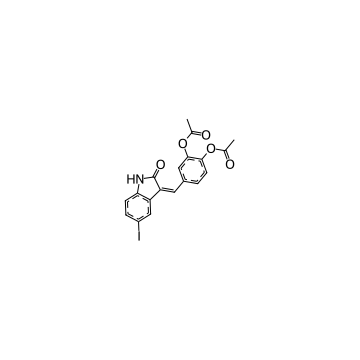 CC(=O)Oc1ccc(C=C2C(=O)Nc3ccc(I)cc32)cc1OC(C)=O